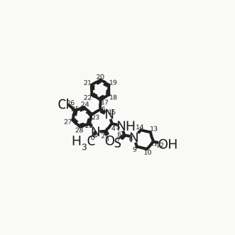 CN1C(=O)C(NC(=S)N2CCC(O)CC2)N=C(c2ccccc2)c2cc(Cl)ccc21